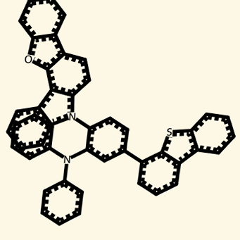 c1ccc(N(c2ccccc2)c2cc(-c3cccc4c3sc3ccccc34)ccc2-n2c3ccccc3c3c4oc5ccccc5c4ccc32)cc1